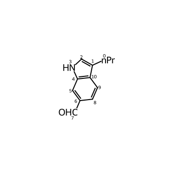 CCCc1c[nH]c2cc(C=O)ccc12